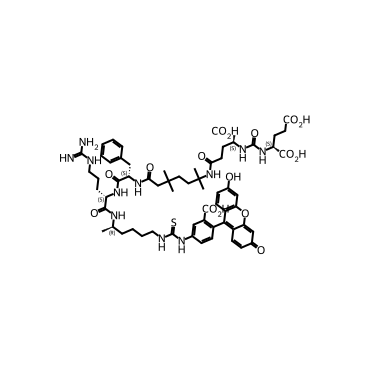 C[C@H](CCCCNC(=S)Nc1ccc(-c2c3ccc(=O)cc-3oc3cc(O)ccc23)c(C(=O)O)c1)NC(=O)[C@H](CCCNC(=N)N)NC(=O)[C@H](Cc1ccccc1)NC(=O)CC(C)(C)CCC(C)(C)NC(=O)CC[C@H](NC(=O)N[C@@H](CCC(=O)O)C(=O)O)C(=O)O